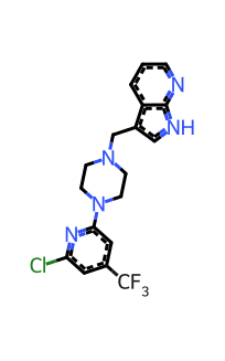 FC(F)(F)c1cc(Cl)nc(N2CCN(Cc3c[nH]c4ncccc34)CC2)c1